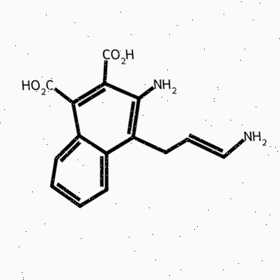 NC=CCc1c(N)c(C(=O)O)c(C(=O)O)c2ccccc12